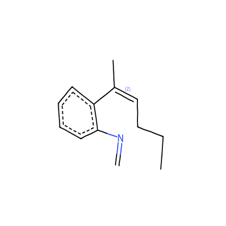 C=Nc1ccccc1/C(C)=C\CCC